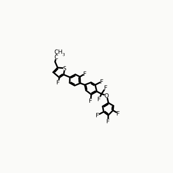 CCCc1cc(F)c(-c2ccc(-c3cc(F)c(C(F)(F)Oc4cc(F)c(F)c(F)c4)c(F)c3)c(F)c2)s1